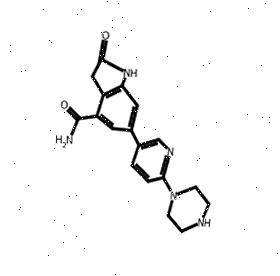 NC(=O)c1cc(-c2ccc(N3CCNCC3)nc2)cc2c1CC(=O)N2